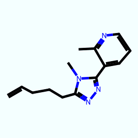 C=CCCCc1nnc(-c2cccnc2C)n1C